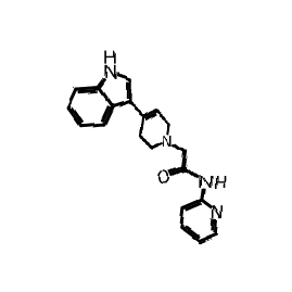 O=C(CN1CC=C(c2c[nH]c3ccccc23)CC1)Nc1ccccn1